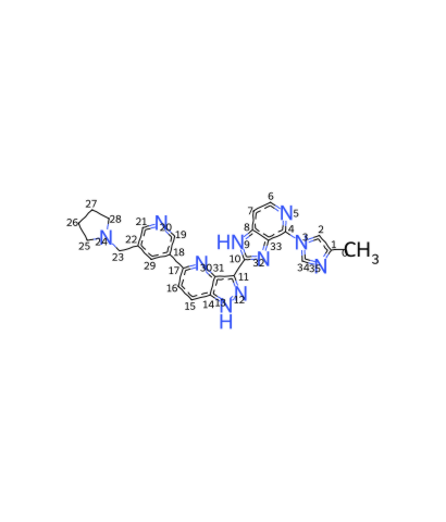 Cc1cn(-c2nccc3[nH]c(-c4n[nH]c5ccc(-c6cncc(CN7CCCC7)c6)nc45)nc23)cn1